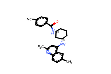 Cc1ccc2nc(C(F)(F)F)cc(N[C@H]3CCC[C@@H](NC(=O)c4ccc(C#N)cc4)C3)c2c1